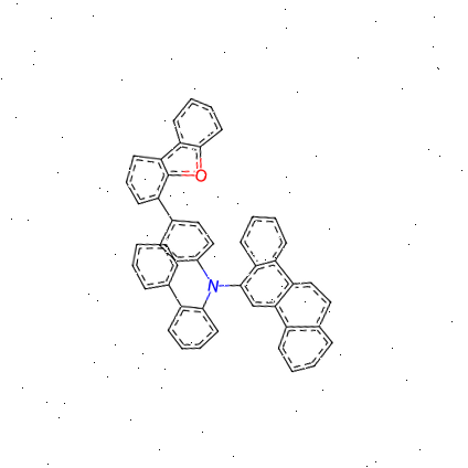 c1ccc(-c2ccccc2N(c2ccc(-c3cccc4c3oc3ccccc34)cc2)c2cc3c4ccccc4ccc3c3ccccc23)cc1